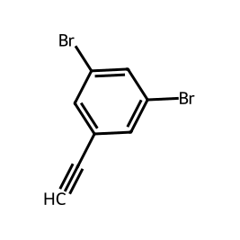 C#Cc1cc(Br)cc(Br)c1